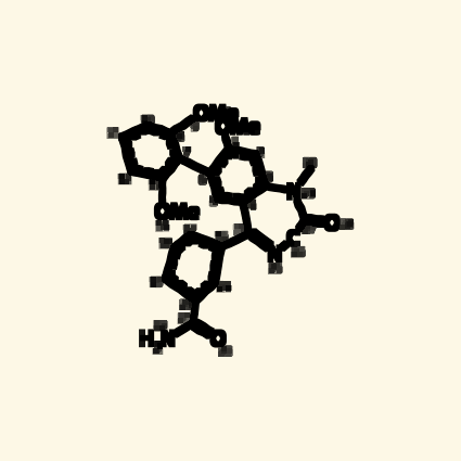 COc1cc2c(cc1-c1c(OC)cccc1OC)C(c1cccc(C(N)=O)c1)=NCC(=O)N2C